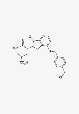 CC(CC(C(N)=O)N1Cc2c(OCc3ccc(CCl)cc3)cccc2C1=O)C(=O)O